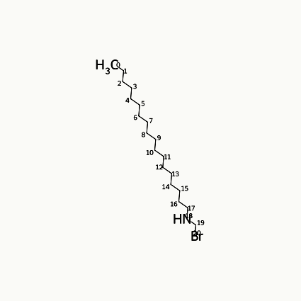 CCCCCCCCCCCCCCCCCCNCBr